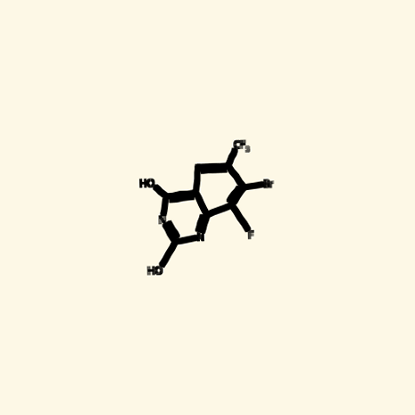 Oc1nc(O)c2cc(C(F)(F)F)c(Br)c(F)c2n1